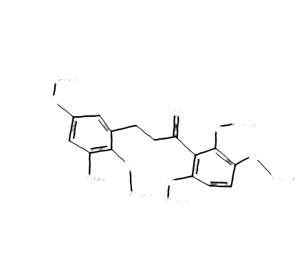 CCCCCOc1cc(CCC(=O)c2c(OCCCCC)ccc(OCCCCC)c2OCCCCC)c(OCCCCC)c(OC)c1